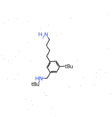 CC(C)(C)NCc1cc(CCCCN)cc(C(C)(C)C)c1